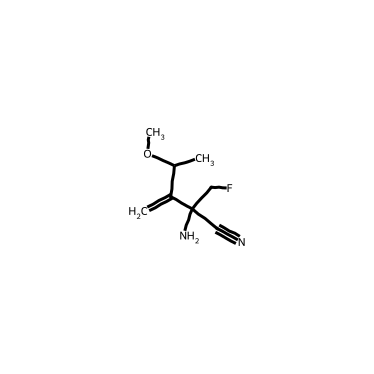 C=C(C(C)OC)C(N)(C#N)CF